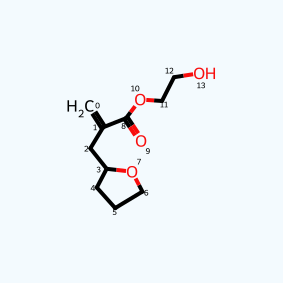 C=C(CC1CCCO1)C(=O)OCCO